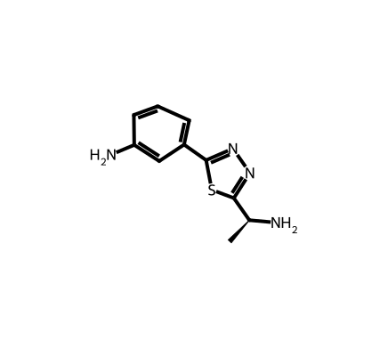 C[C@H](N)c1nnc(-c2cccc(N)c2)s1